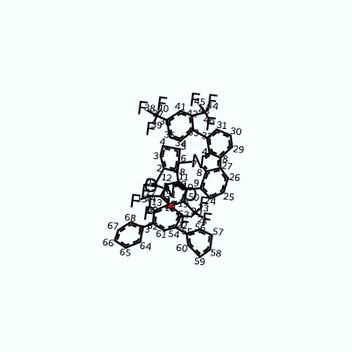 O=C1c2cccc(-n3c4c(-c5ccc(C(F)(F)F)cc5C(F)(F)F)cccc4c4cccc(-c5ccc(C(F)(F)F)cc5C(F)(F)F)c43)c2C(=O)N1c1cc(-c2ccccc2)cc(-c2ccccc2)c1